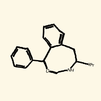 CC(C)C1Cc2ccccc2C(c2ccccc2)OCN1